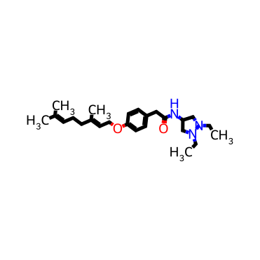 CCN1CC(NC(=O)Cc2ccc(OC/C=C(\C)CCC=C(C)C)cc2)CN1CC